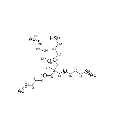 CC(=O)SCCCOCC(COCCCS)(COCCCSC(C)=O)COCCCSC(C)=O